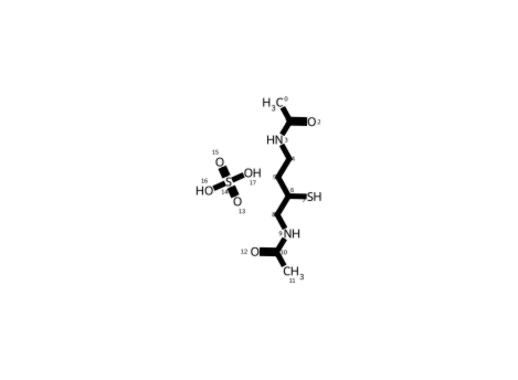 CC(=O)NCCC(S)CNC(C)=O.O=S(=O)(O)O